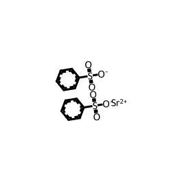 O=S(=O)([O-])c1ccccc1.O=S(=O)([O-])c1ccccc1.[Sr+2]